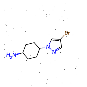 N[C@H]1CC[C@H](n2cc(Br)cn2)CC1